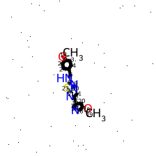 COc1ccc(CNc2nn3cc(-c4cncc(OC)c4)nc3s2)cc1